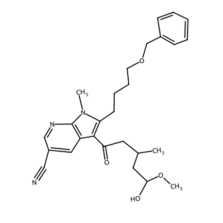 COC(O)CC(C)CC(=O)c1c(CCCCOCc2ccccc2)n(C)c2ncc(C#N)cc12